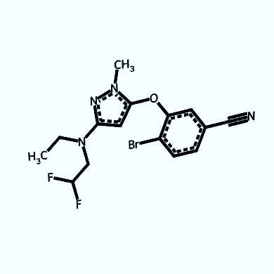 CCN(CC(F)F)c1cc(Oc2cc(C#N)ccc2Br)n(C)n1